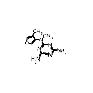 Cc1cocc1N(C)c1nc(N)nc(N)n1